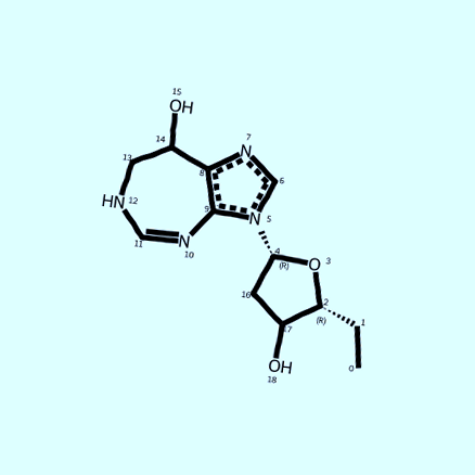 CC[C@H]1O[C@@H](n2cnc3c2N=CNCC3O)CC1O